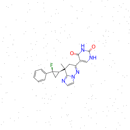 CC1([C@H]2C[C@]2(F)c2ccccc2)CC(c2c[nH]c(=O)[nH]c2=O)=Nn2ccnc21